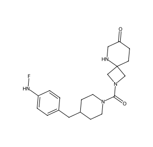 O=C1CCC2(CN(C(=O)N3CCC(Cc4ccc(NF)cc4)CC3)C2)NC1